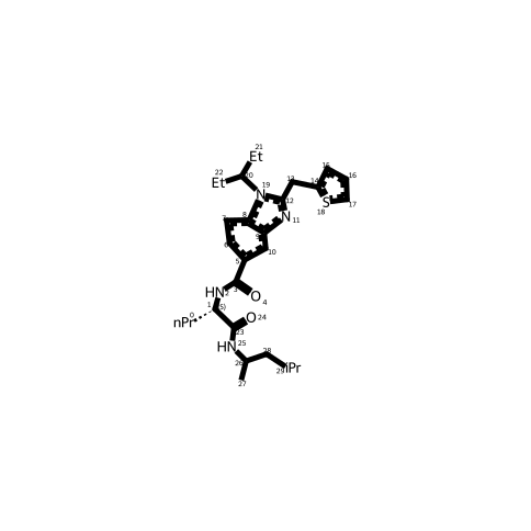 CCC[C@H](NC(=O)c1ccc2c(c1)nc(Cc1cccs1)n2C(CC)CC)C(=O)NC(C)CC(C)C